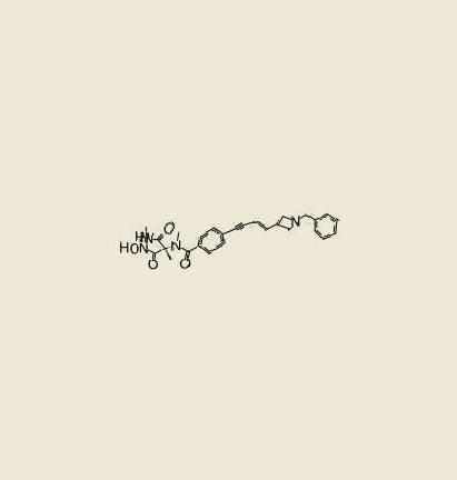 CNC(=O)[C@@](C)(C(=O)NO)N(C)C(=O)c1ccc(C#CC=CC2CN(Cc3ccccc3)C2)cc1